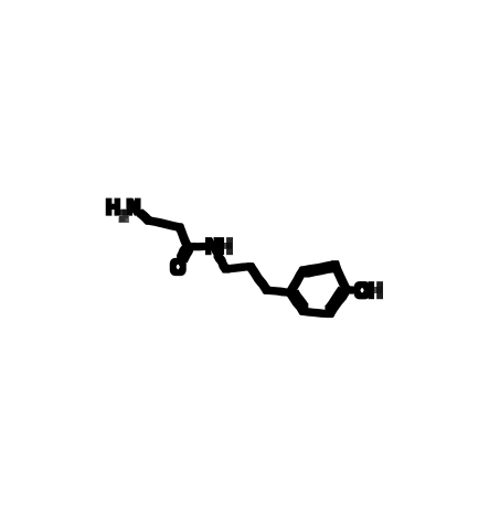 NCCC(=O)NCCCc1ccc(O)cc1